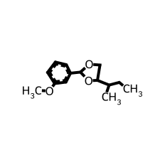 CCC(C)C1COC(c2cccc(OC)c2)O1